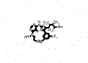 CCCCC(C)C(C)C(C)Cc1sc(Nc2ncnc(N(CCC)CCC(C)CC)c2F)nc1-c1cc(Cl)cc(C(F)(F)F)c1